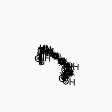 COC(=O)N[C@@H](C)C(=O)N[C@H](c1nc(-c2ccc(-c3ccc(-c4c[nH]c([C@@H]5CCCN5C(=O)[C@H](C)N(C)C(=O)O)n4)cc3)cc2)c[nH]1)C(C)C